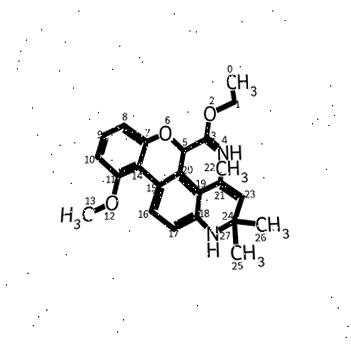 CCOC(=N)C1Oc2cccc(OC)c2-c2ccc3c(c21)C(C)=CC(C)(C)N3